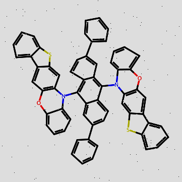 c1ccc(-c2ccc3c(N4c5ccccc5Oc5cc6c(cc54)sc4ccccc46)c4cc(-c5ccccc5)ccc4c(N4c5ccccc5Oc5cc6c(cc54)sc4ccccc46)c3c2)cc1